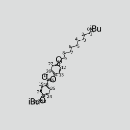 CC[C@H](C)CCCCCCCCCOc1ccc(OC(=O)c2ccc(O[C@H](C)CC)cc2)cc1